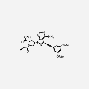 C=CC(=O)N1C[C@@H](n2nc(C#Cc3cc(OC)cc(OC)c3)c3c(N)ncnc32)C[C@H]1C(=O)OC